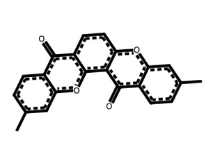 Cc1ccc2c(=O)c3ccc4oc5cc(C)ccc5c(=O)c4c3oc2c1